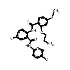 CSc1ccc(C(=O)Nc2ccc(Cl)cc2C(=O)Nc2ccc(Cl)cn2)c(OCCN)c1